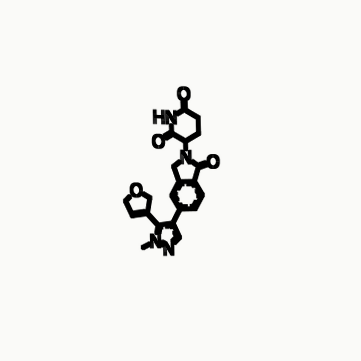 Cn1ncc(-c2ccc3c(c2)CN(C2CCC(=O)NC2=O)C3=O)c1C1=CCOC1